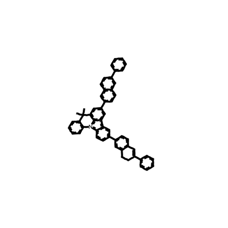 CC1(C)c2ccccc2-n2c3ccc(-c4ccc5c(c4)CCC(c4ccccc4)=C5)cc3c3cc(-c4ccc5cc(-c6ccccc6)ccc5c4)cc1c32